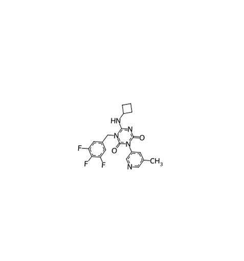 Cc1cncc(-n2c(=O)nc(NC3CCC3)n(Cc3cc(F)c(F)c(F)c3)c2=O)c1